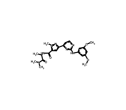 COc1cc(Nc2nccc(-c3cc(C(=O)NC(C)C(=O)N(C)C)n(C)n3)n2)cc(OC)c1